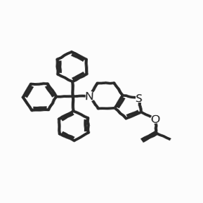 C=C(C)Oc1cc2c(s1)CCN(C(c1ccccc1)(c1ccccc1)c1ccccc1)C2